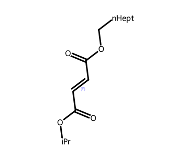 CCCCCCCCOC(=O)/C=C/C(=O)OC(C)C